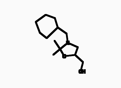 CC1(C)OC(CO)CN1CC1CCCCC1